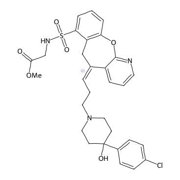 COC(=O)CNS(=O)(=O)c1cccc2c1C/C(=C/CCN1CCC(O)(c3ccc(Cl)cc3)CC1)c1cccnc1O2